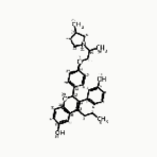 CCCC1=C(c2cccc(O)c2)C(c2ccc(OCC(C)N3CCC(C)C3)cc2)Oc2ccc(O)cc21